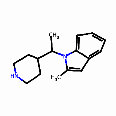 Cc1cc2ccccc2n1C(C)C1CCNCC1